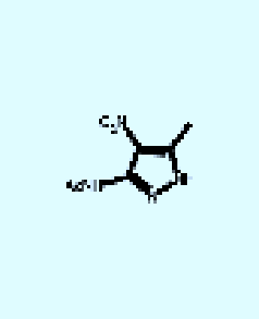 CC(=O)Nc1n[nH]c(C)c1[N+](=O)[O-]